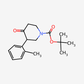 Cc1ccccc1C1CN(C(=O)OC(C)(C)C)CCC1=O